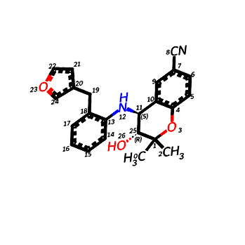 CC1(C)Oc2ccc(C#N)cc2[C@H](Nc2ccccc2Cc2ccoc2)[C@H]1O